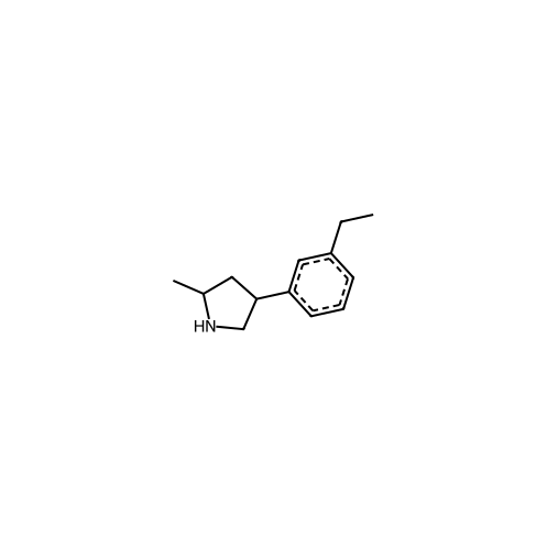 CCc1cccc(C2CNC(C)C2)c1